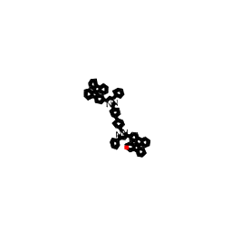 c1ccc(-c2cc(-c3ccc4c(c3)C3(c5ccccc5-c5ccccc53)c3ccccc3-4)nc(-c3ccc(-c4ccc(-c5nc(-c6ccccc6)cc(-c6ccc7c(c6)C6(c8ccccc8-c8ccccc86)c6ccccc6-7)n5)cc4)cc3)n2)cc1